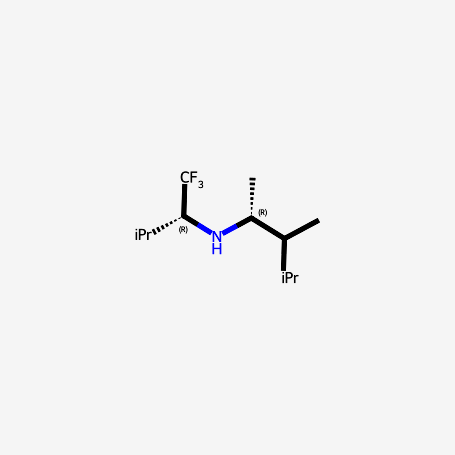 CC(C)C(C)[C@@H](C)N[C@H](C(C)C)C(F)(F)F